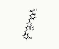 CCS(=O)(=O)N(CCCc1cccc(Cl)c1)CCCc1cccc(C(=O)O)c1